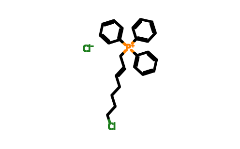 ClCCCCC=CC[P+](c1ccccc1)(c1ccccc1)c1ccccc1.[Cl-]